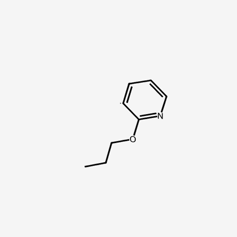 CCCOc1[c]cccn1